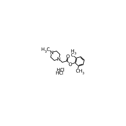 Cc1cccc(C)c1OC(=O)CN1CCN(C)CC1.Cl.Cl